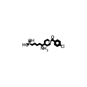 NC(CCCCB(O)O)C1CCN(C(=O)c2ccc(Cl)cc2)CC1